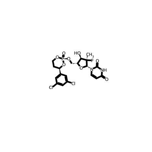 C[C@@]1(F)[C@H](O)[C@@H](CO[P@]2(=O)OCC[C@H](c3cc(Cl)cc(Cl)c3)O2)O[C@H]1n1ccc(=O)[nH]c1=O